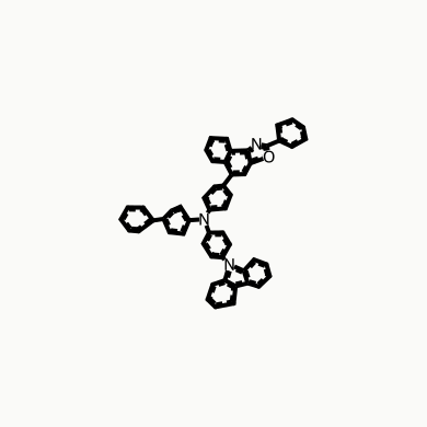 c1ccc(-c2ccc(N(c3ccc(-c4cc5oc(-c6ccccc6)nc5c5ccccc45)cc3)c3ccc(-n4c5ccccc5c5ccccc54)cc3)cc2)cc1